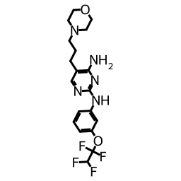 Nc1nc(Nc2cccc(OC(F)(F)C(F)F)c2)ncc1CCCN1CCOCC1